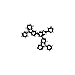 c1ccc(-c2nc3c(-c4ccc5c(c4)c4cnccc4n5-c4ccccc4)cc(-c4ccc5c(c4)c4ccccc4n5-c4ccccc4)cc3o2)cc1